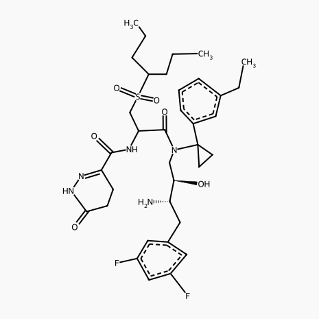 CCCC(CCC)S(=O)(=O)CC(NC(=O)C1=NNC(=O)CC1)C(=O)N(C[C@@H](O)[C@@H](N)Cc1cc(F)cc(F)c1)C1(c2cccc(CC)c2)CC1